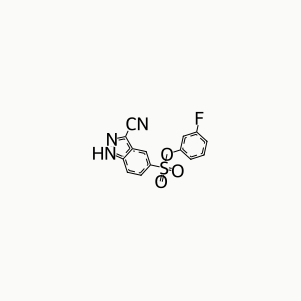 N#Cc1n[nH]c2ccc(S(=O)(=O)Oc3cccc(F)c3)cc12